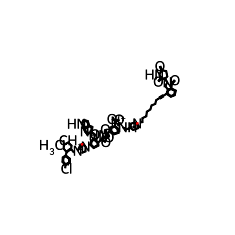 CC1(C)CCC(CN2CCN(c3ccc(C(=O)NS(=O)(=O)c4ccc(NCC5CCN(CCCCCCCCC#Cc6cccc7c6CN(C6CCC(=O)NC6=O)C7=O)CC5)c([N+](=O)[O-])c4)c(Oc4cnc5[nH]ccc5c4)c3)CC2)=C(c2ccc(Cl)cc2)C1